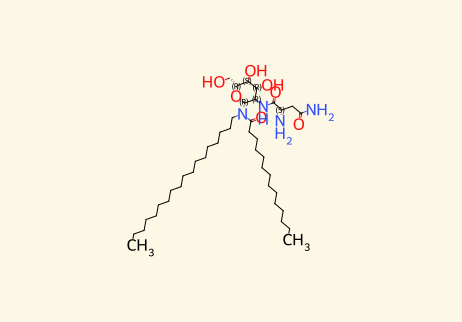 CCCCCCCCCCCCCCCCCCN(C(=O)CCCCCCCCCCCCC)[C@@H]1O[C@H](CO)[C@@H](O)[C@H](O)[C@H]1NC(=O)[C@@H](N)CC(N)=O